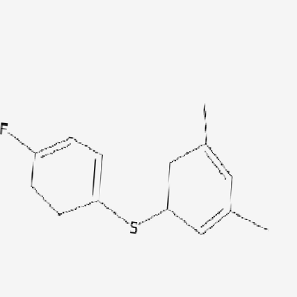 CC1=CC(SC2=CC=C(F)CC2)CC(C)=C1